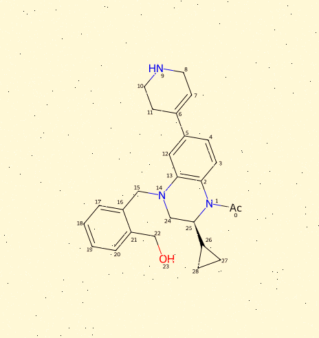 CC(=O)N1c2ccc(C3=CCNCC3)cc2N(Cc2ccccc2CO)C[C@@H]1C1CC1